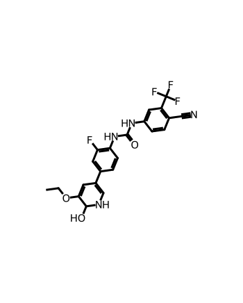 CCOC1=CC(c2ccc(NC(=O)Nc3ccc(C#N)c(C(F)(F)F)c3)c(F)c2)=CNC1O